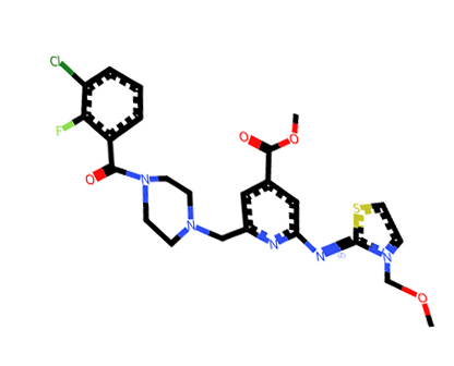 COCn1ccs/c1=N\c1cc(C(=O)OC)cc(CN2CCN(C(=O)c3cccc(Cl)c3F)CC2)n1